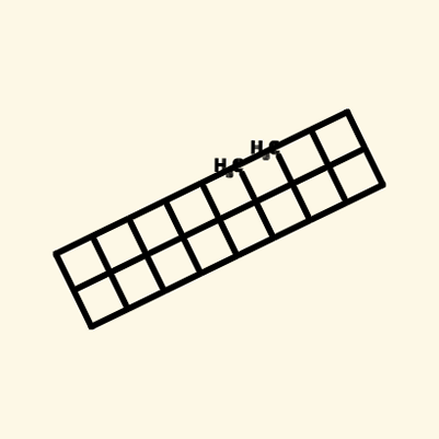 CC12C3C4CC5CC(C6C7C8C9CC%10CC%11C%12C%13C%14C3C1(C)C6%14C7%13C8%12C%109%11)C542